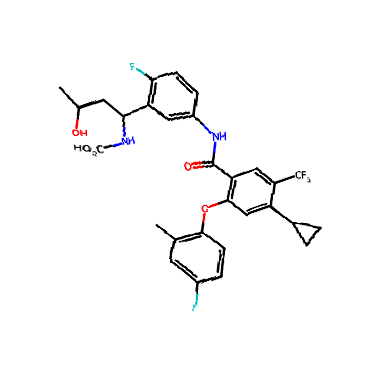 Cc1cc(F)ccc1Oc1cc(C2CC2)c(C(F)(F)F)cc1C(=O)Nc1ccc(F)c(C(CC(C)O)NC(=O)O)c1